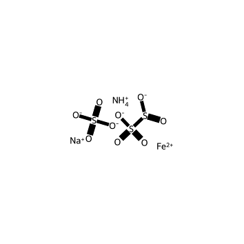 O=S(=O)([O-])[O-].O=S([O-])S(=O)(=O)[O-].[Fe+2].[NH4+].[Na+]